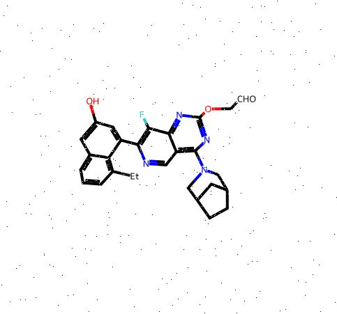 CCc1cccc2cc(O)cc(-c3ncc4c(N5CC6CCC(C6)C5)nc(OCC=O)nc4c3F)c12